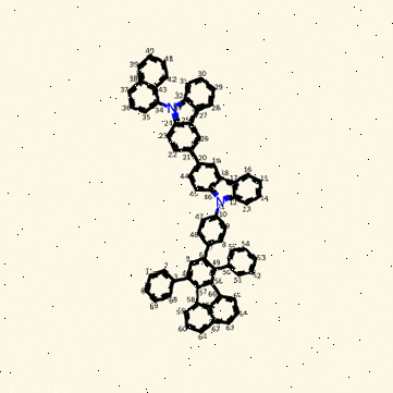 c1ccc(-c2cc(-c3ccc(-n4c5ccccc5c5cc(-c6ccc7c(c6)c6ccccc6n7-c6cccc7ccccc67)ccc54)cc3)c(-c3ccccc3)c3c2-c2cccc4cccc-3c24)cc1